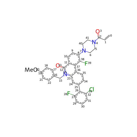 C=CC(=O)N1CCN(c2ccc3c(=O)n(Cc4ccc(OC)cc4)c4cc(-c5c(F)cccc5Cl)ccc4c3c2F)CC1